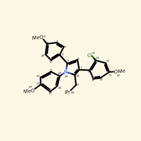 COc1ccc(-c2cc(-c3ccc(OC)cc3Cl)c(CC(C)C)n2-c2ccc(OC)cc2)cc1